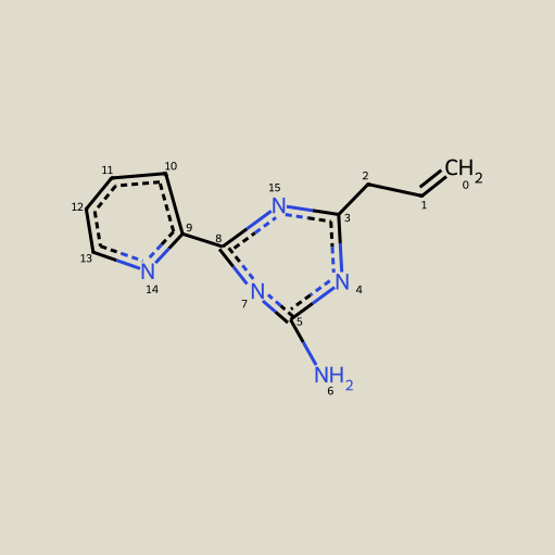 C=CCc1nc(N)nc(-c2ccccn2)n1